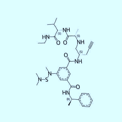 C#CC[C@@H](CN[C@@H](C)C(=O)N[C@H](C(=O)NCC)C(C)C)NC(=O)c1cc(C(=O)N[C@H](C)c2ccccc2)cc(N(C)SN(C)C)c1